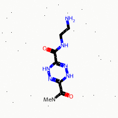 CNC(=O)C1=NNC(C(=O)NCCN)=NN1